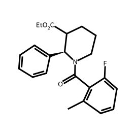 CCOC(=O)C1CCCN(C(=O)c2c(C)cccc2F)[C@H]1c1ccccc1